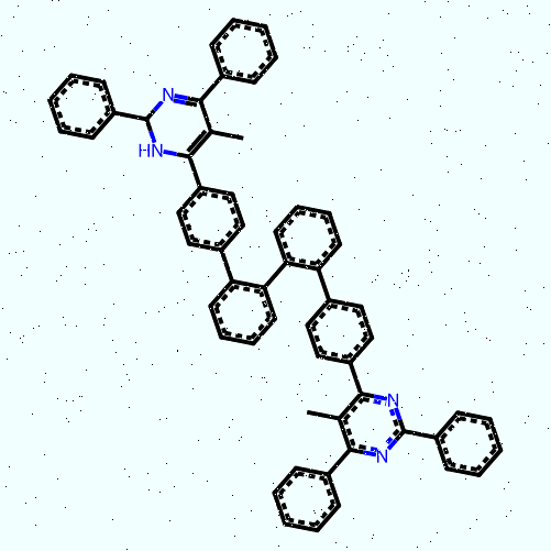 CC1=C(c2ccc(-c3ccccc3-c3ccccc3-c3ccc(-c4nc(-c5ccccc5)nc(-c5ccccc5)c4C)cc3)cc2)NC(c2ccccc2)N=C1c1ccccc1